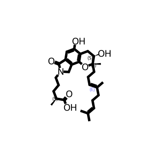 CC(C)=CCC/C(C)=C/CC[C@]1(C)Oc2c(c(O)cc3c2CN(CCC[C@H](C)C(=O)O)C3=O)C[C@@H]1O